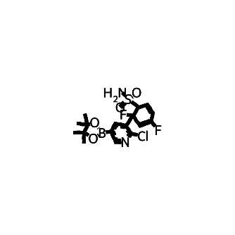 CC1(C)OB(c2cnc(Cl)c(C3(F)C=C(F)C=CC3S(N)(=O)=O)c2)OC1(C)C